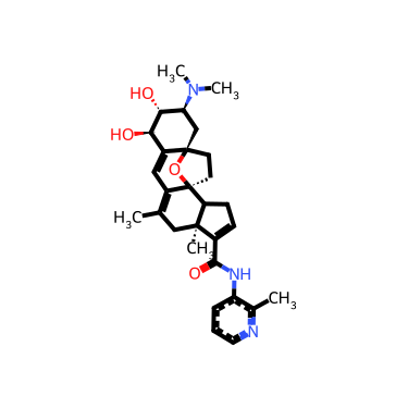 CC1=C2C=C3[C@@H](O)[C@H](O)[C@@H](N(C)C)C[C@]34CC[C@]2(O4)C2CC=C(C(=O)Nc3cccnc3C)[C@@]2(C)C1